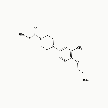 COCCOc1ncc(N2CCN(C(=O)OC(C)(C)C)CC2)cc1C(F)(F)F